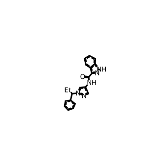 CCC(c1ccccc1)n1cc(NC(=O)c2n[nH]c3ccccc23)cn1